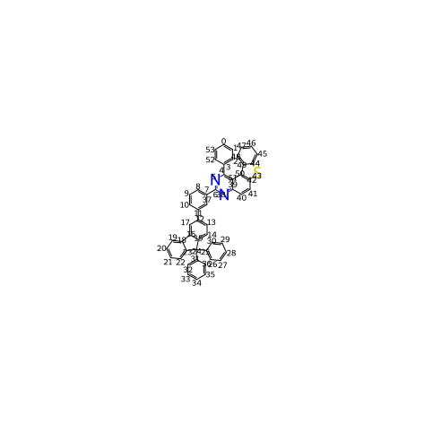 c1ccc(-c2nc(-c3cccc(-c4ccc5c(c4)-c4ccccc4C5(c4ccccc4)c4ccccc4)c3)nc3ccc4sc5ccccc5c4c23)cc1